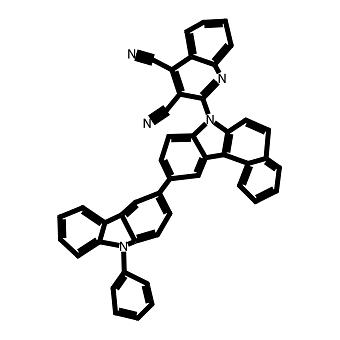 N#Cc1c(-n2c3ccc(-c4ccc5c(c4)c4ccccc4n5-c4ccccc4)cc3c3c4ccccc4ccc32)nc2ccccc2c1C#N